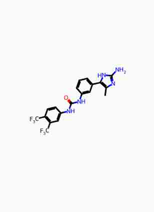 Cc1nc(N)[nH]c1-c1cccc(NC(=O)Nc2ccc(C(F)(F)F)c(C(F)(F)F)c2)c1